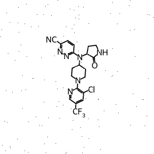 N#Cc1ccc(N(C2CCN(c3ncc(C(F)(F)F)cc3Cl)CC2)C2CCNC2=O)nn1